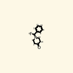 O=C1CCN(C(F)c2ccccc2)CC1